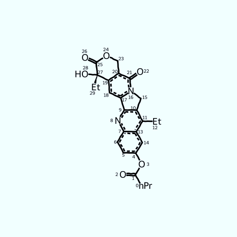 CCCC(=O)Oc1ccc2nc3c(c(CC)c2c1)Cn1c-3cc2c(c1=O)COC(=O)[C@]2(O)CC